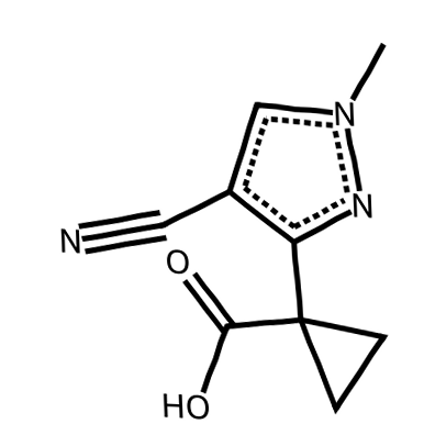 Cn1cc(C#N)c(C2(C(=O)O)CC2)n1